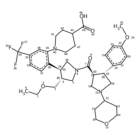 CCOC[C@H]1CN(C(=O)[C@@H]2CN(C3CCOCC3)C[C@H]2c2ccc(OC)cc2)C[C@@H]1c1ccc(C(F)(F)F)cc1N1CCC(C(=O)O)CC1